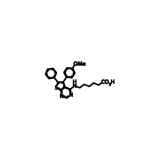 COc1ccc(-c2c(-c3ccccc3)sc3ncnc(NCCCCCC(=O)O)c23)cc1